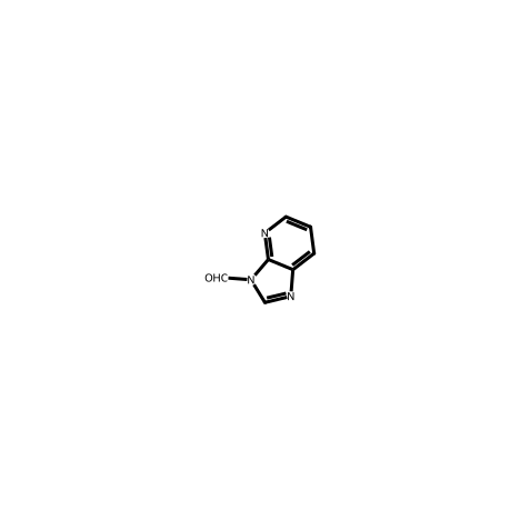 O=Cn1cnc2cccnc21